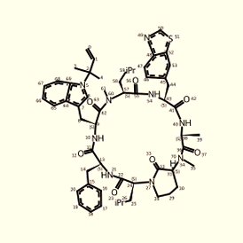 C=CC(C)(C)n1cc(C[C@@H]2NC(=O)[C@H](Cc3ccccc3)NC(=O)[C@H](CC(C)C)N3CCC[C@@H](C3=O)N(C)C(=O)[C@H](C)NC(=O)[C@H](Cc3ccc4ncsc4c3)NC(=O)[C@H](CC(C)C)N(C)C2=O)c2ccccc21